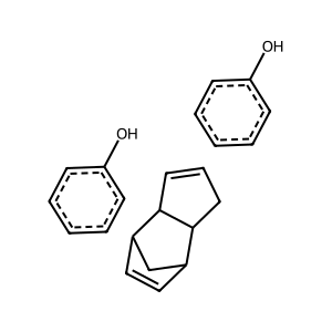 C1=CC2C3C=CC(C3)C2C1.Oc1ccccc1.Oc1ccccc1